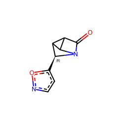 O=C1C2C3C2N1[C@H]3c1ccno1